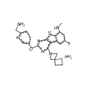 CNc1cc(F)cc2c1[nH]c1nc(Oc3ccc(CN)nc3)nc(N3CC4(CC[C@H]4N)C3)c12